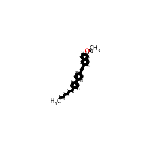 CCCCCCCc1ccc(-c2ccc(C#Cc3ccc4cc(OCC)ccc4c3)cc2)cc1